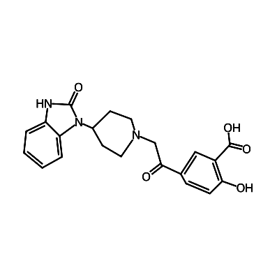 O=C(CN1CCC(n2c(=O)[nH]c3ccccc32)CC1)c1ccc(O)c(C(=O)O)c1